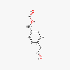 O=CCc1ccc(BOC=O)cc1